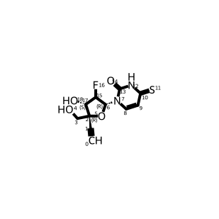 C#C[C@]1(CO)O[C@@H](n2ccc(=S)[nH]c2=O)C(F)[C@H]1O